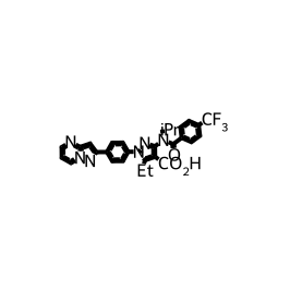 CCc1c(C(=O)O)c(N(C(=O)c2ccc(C(F)(F)F)cc2)C(C)C)nn1-c1ccc(-c2cc3ncccn3n2)cc1